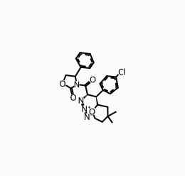 CC1(C)CCOC([C@H](c2ccc(Cl)cc2)[C@@H](N=[N+]=[N-])C(=O)N2C(=O)OCC2c2ccccc2)C1